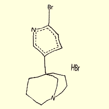 Br.Brc1ccc(C23CCCN(CC2)C3)cn1